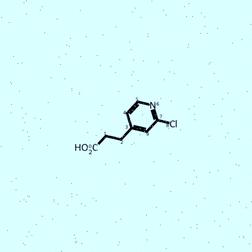 O=C(O)CCc1ccnc(Cl)c1